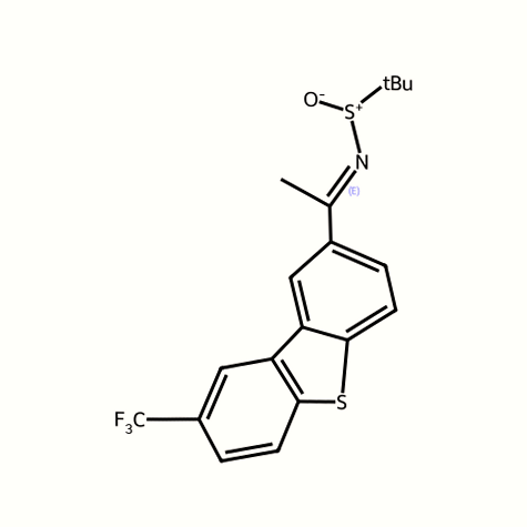 C/C(=N\[S+]([O-])C(C)(C)C)c1ccc2sc3ccc(C(F)(F)F)cc3c2c1